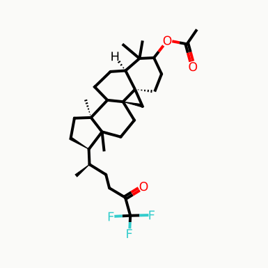 CC(=O)OC1CC[C@]23C[C@]24CCC2(C)[C@@H]([C@H](C)CCC(=O)C(F)(F)F)CC[C@@]2(C)C4CC[C@H]3C1(C)C